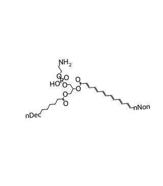 CCCCCCCCCC=CC=CC=CC=CC=CC=CC(=O)OC(COC(=O)CCCCCCCCCCCCCCC)COP(=O)(O)OCCN